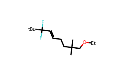 CCOCC(C)(C)CC/C=C/C(F)(F)C(C)(C)C